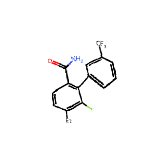 CCc1ccc(C(N)=O)c(-c2cccc(C(F)(F)F)c2)c1F